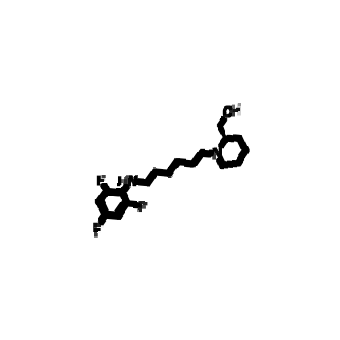 OC[C@H]1CCCCN1CCCCCCNc1c(F)cc(F)cc1F